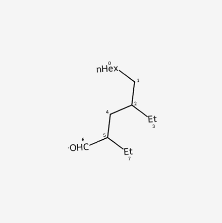 CCCCCCCC(CC)CC([C]=O)CC